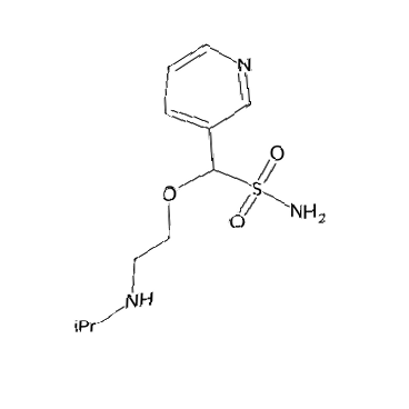 CC(C)NCCOC(c1cccnc1)S(N)(=O)=O